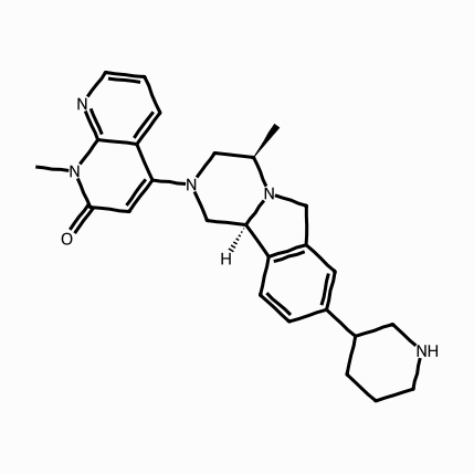 C[C@@H]1CN(c2cc(=O)n(C)c3ncccc23)C[C@@H]2c3ccc(C4CCCNC4)cc3CN12